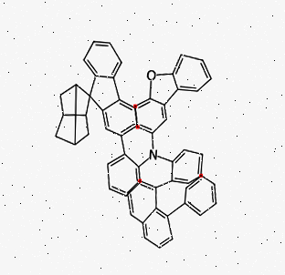 c1ccc(-c2cccc3cccc(-c4ccccc4N(c4ccc5oc6ccccc6c5c4)c4ccccc4-c4ccc5c(c4)C4(c6ccccc6-5)C5CC6CC5CC64)c23)cc1